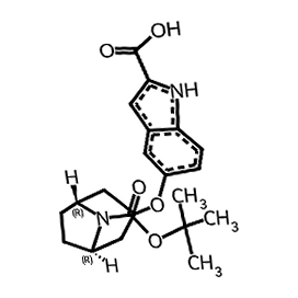 CC(C)(C)OC(=O)N1[C@@H]2CC[C@@H]1CC(Oc1ccc3[nH]c(C(=O)O)cc3c1)C2